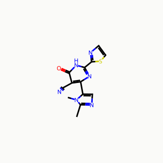 Cc1ncc(-c2nc(-c3nccs3)[nH]c(=O)c2C#N)n1C